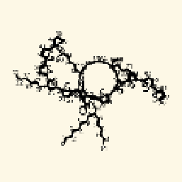 CCCCCCCCC(CCCCCC)CN1C(=O)C2=C(c3ccc(-c4cc(CCCCCC)c(-c5ccc(-c6ccc(-c7cccs7)s6)s5)s4)s3)N3CC(CCCCCC)CCCCCC(CC)(CCCC)Cc4cc(sc4-c4ccc(-c5ccc(-c6cccs6)s5)s4)-c4ccc(s4)C1=C2C3=O